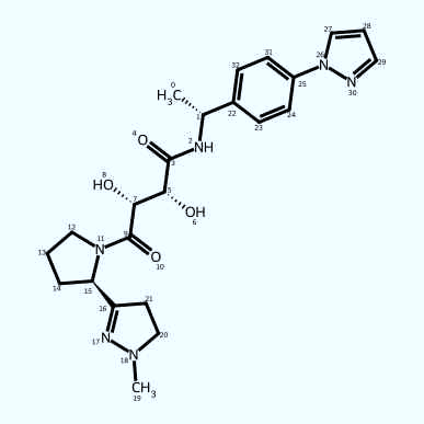 C[C@@H](NC(=O)[C@H](O)[C@@H](O)C(=O)N1CCC[C@@H]1C1=NN(C)CC1)c1ccc(-n2cccn2)cc1